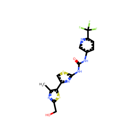 Cc1nc(CO)sc1-c1csc(NC(=O)Nc2ccc(C(F)(F)F)nc2)n1